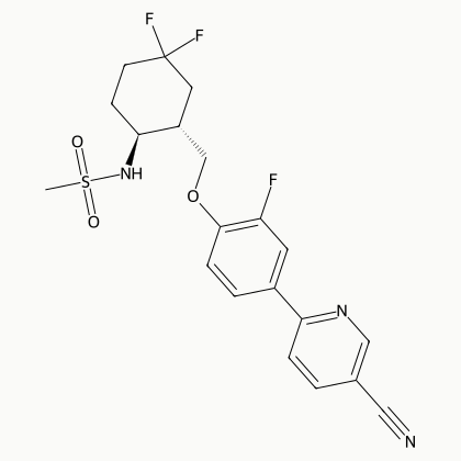 CS(=O)(=O)N[C@H]1CCC(F)(F)C[C@@H]1COc1ccc(-c2ccc(C#N)cn2)cc1F